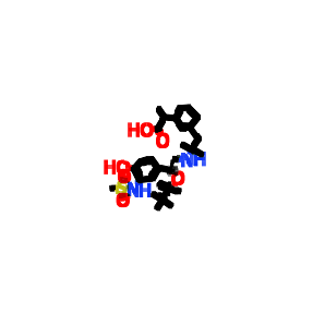 CC(C(=O)O)c1cccc(CC(C)(C)NC[C@H](O[Si](C)(C)C(C)(C)C)c2ccc(O)c(NS(C)(=O)=O)c2)c1